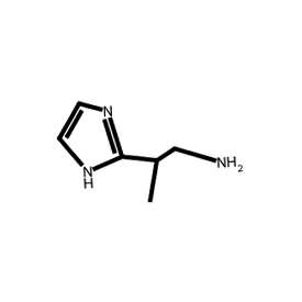 CC(CN)c1ncc[nH]1